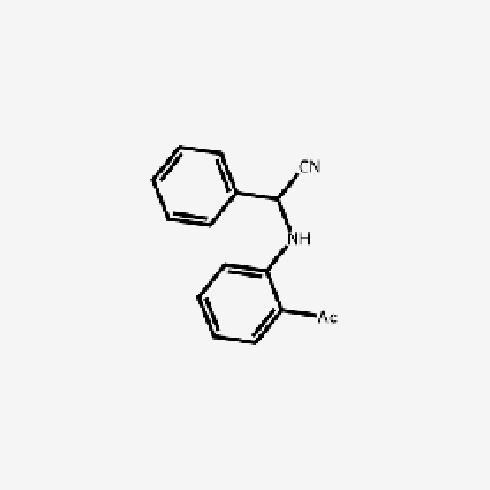 CC(=O)c1ccccc1NC(C#N)c1ccccc1